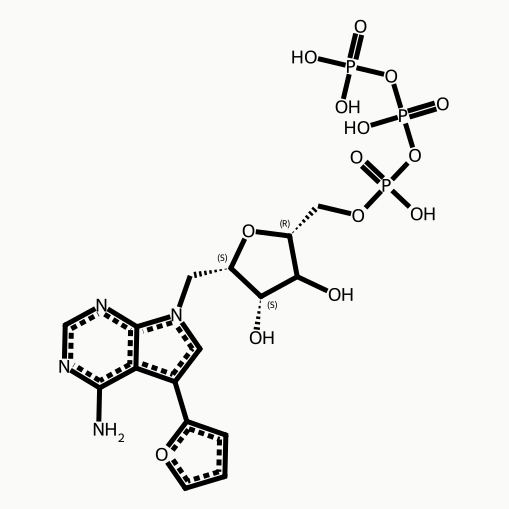 Nc1ncnc2c1c(-c1ccco1)cn2C[C@@H]1O[C@H](COP(=O)(O)OP(=O)(O)OP(=O)(O)O)C(O)[C@@H]1O